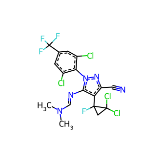 CN(C)C=Nc1c(C2(F)CC2(Cl)Cl)c(C#N)nn1-c1c(Cl)cc(C(F)(F)F)cc1Cl